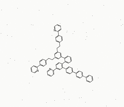 c1ccc(-c2ccc(-c3ccc(-c4cc(-c5ccccn5)ccc4-c4ccccc4-c4cc(CCc5ccc(-c6ccccn6)cc5)cc(CCc5ccc(-c6ccccn6)cc5)c4)cc3)cc2)cc1